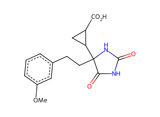 COc1cccc(CCC2(C3CC3C(=O)O)NC(=O)NC2=O)c1